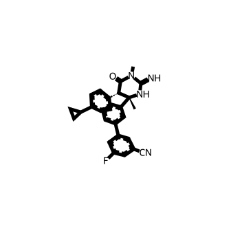 CN1C(=N)N[C@](C)(c2cccc(-c3cc(F)cc(C#N)c3)c2)[C@H](c2ccc(C3CC3)cc2)C1=O